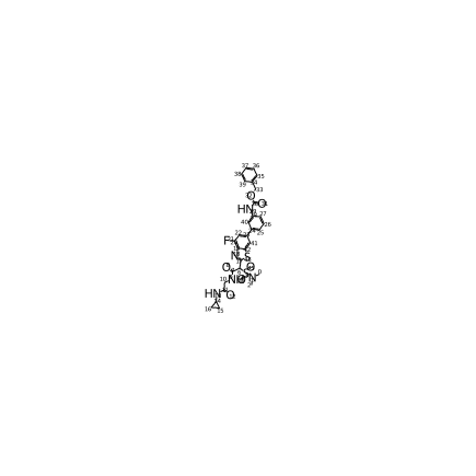 CN(C)S(=O)(=O)C(C(=O)NCC(=O)NC1CC1)c1nc2c(F)cc(-c3cccc(NC(=O)OCc4ccccc4)c3)cc2s1